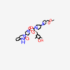 CCOC(=O)CC1CCN(C2CCN(C(=O)[C@@H](Cc3cc(C)c(O)c(C)c3)OC(=O)N3CCC(N4CCc5ccccc5NC4=O)CC3)CC2)CC1